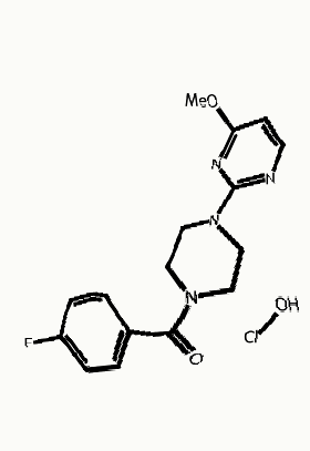 COc1ccnc(N2CCN(C(=O)c3ccc(F)cc3)CC2)n1.OCl